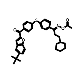 CC(=O)ON=C(CCC1CCCCC1)c1ccc(Sc2ccc(C(=O)c3cc4cc(C(C)(C)C)ccc4o3)cc2)cc1